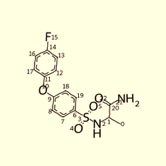 CC(NS(=O)(=O)c1ccc(Oc2ccc(F)cc2)cc1)C(N)=O